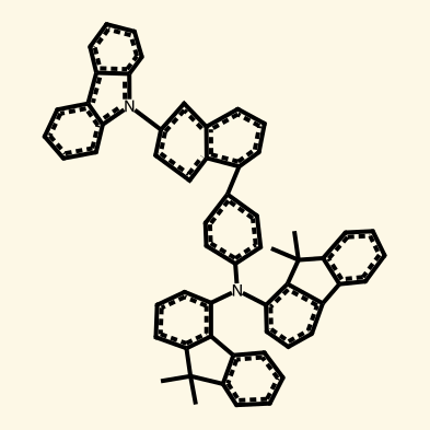 CC1(C)c2ccccc2-c2c(N(c3ccc(-c4cccc5cc(-n6c7ccccc7c7ccccc76)ccc45)cc3)c3cccc4c3C(C)(C)c3ccccc3-4)cccc21